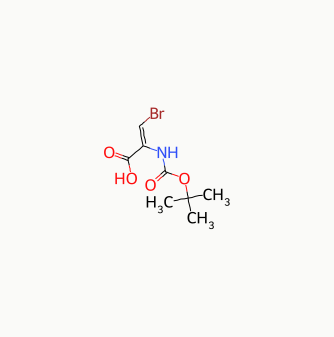 CC(C)(C)OC(=O)N/C(=C\Br)C(=O)O